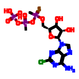 CP(=O)(OP(=O)(O)O)OP(C)(=S)OC[C@H]1O[C@@H](n2cnc3c(N)nc(Cl)nc32)[C@@H](O)C1O